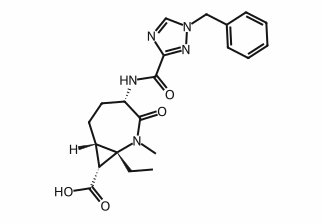 CC[C@@]12[C@H](C(=O)O)[C@@H]1CC[C@H](NC(=O)c1ncn(Cc3ccccc3)n1)C(=O)N2C